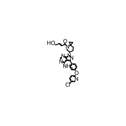 Nc1ncnc2c1c(-c1ccc(Oc3ccc(Cl)cn3)cc1)nn2C1CCC2(CC2)N(C(=O)/C=C/CO)C1